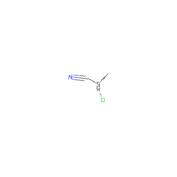 C[SiH](Cl)C#N